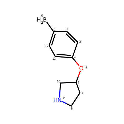 Bc1ccc(OC2CCNC2)cc1